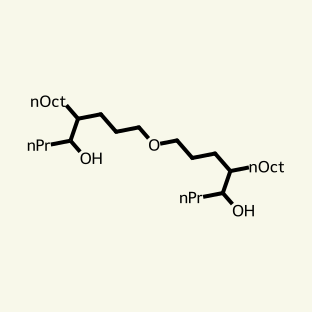 CCCCCCCCC(CCCOCCCC(CCCCCCCC)C(O)CCC)C(O)CCC